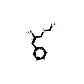 CC(=O)OCOC/C(=C\c1ccccc1)[N+](=O)[O-]